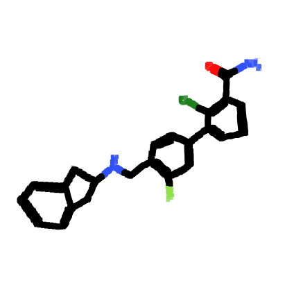 NC(=O)c1cccc(-c2ccc(CNC3Cc4ccccc4C3)c(F)c2)c1Cl